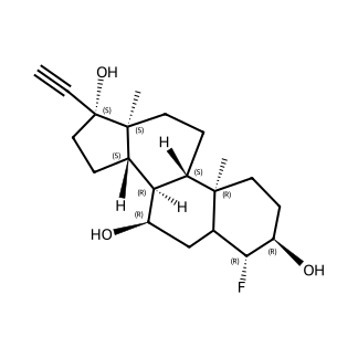 C#C[C@]1(O)CC[C@H]2[C@@H]3[C@H](O)CC4[C@@H](F)[C@H](O)CC[C@]4(C)[C@H]3CC[C@@]21C